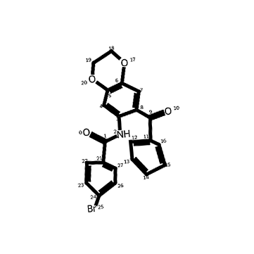 O=C(Nc1cc2c(cc1C(=O)c1ccccc1)OCCO2)c1ccc(Br)cc1